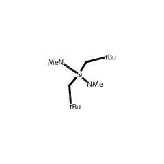 CN[Si](CC(C)(C)C)(CC(C)(C)C)NC